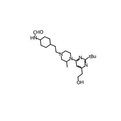 CC1CN(CCC2CCC(NC=O)CC2)CCN1c1cc(CCO)nc(C(C)(C)C)n1